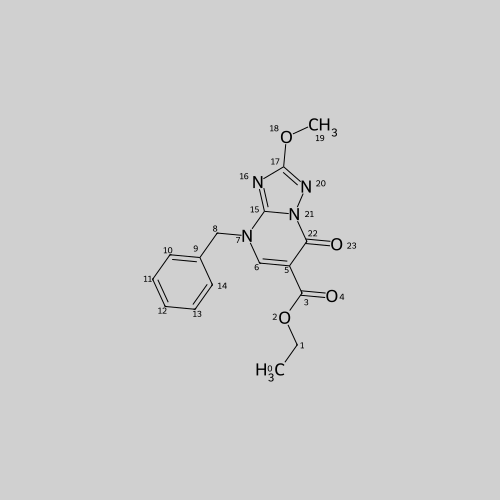 CCOC(=O)c1cn(Cc2ccccc2)c2nc(OC)nn2c1=O